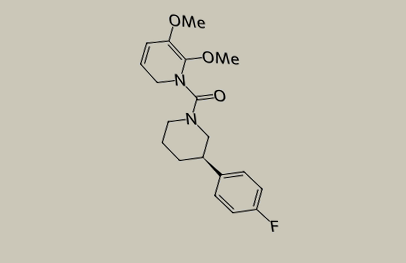 COC1=C(OC)N(C(=O)N2CCC[C@H](c3ccc(F)cc3)C2)CC=C1